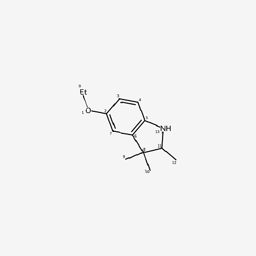 CCOc1ccc2c(c1)C(C)(C)C(C)N2